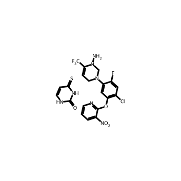 NN1CN(c2cc(Oc3ncccc3[N+](=O)[O-])c(Cl)cc2F)CC=C1C(F)(F)F.O=c1[nH]ccc(=S)[nH]1